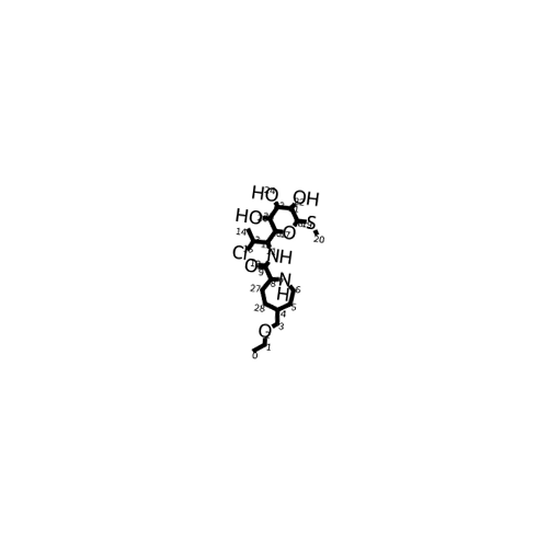 CCOCC1CCNC(C(=O)NC(C(C)Cl)C2OC(SC)C(O)C(O)C2O)CC1